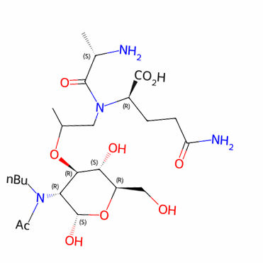 CCCCN(C(C)=O)[C@@H]1[C@@H](OC(C)CN(C(=O)[C@H](C)N)[C@H](CCC(N)=O)C(=O)O)[C@H](O)[C@@H](CO)O[C@@H]1O